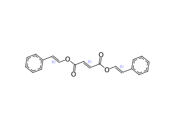 O=C(/C=C/C(=O)O/C=C/c1ccccc1)O/C=C/c1ccccc1